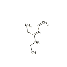 C=C/N=C(/NCO)SN